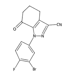 N#Cc1nn(-c2ccc(F)c(Br)c2)c2c1CCCC2=O